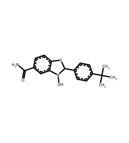 CC(C)(C)c1ccc(C2Sc3ccc(C(N)=O)cc3N2O)cc1